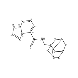 O=C(NCC12CC3CC(CC(C3)C1)C2)c1cccc2n[c]cn12